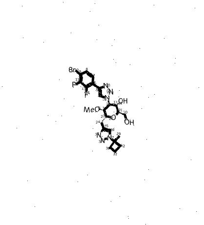 CO[C@@H]1[C@@H](n2cc(-c3ccc(Br)c(F)c3F)nn2)[C@@H](O)[C@@H](CO)O[C@@H]1Cc1cn(C2(C)CCC2)nn1